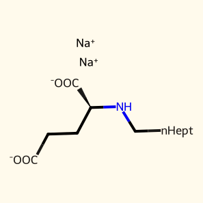 CCCCCCCCN[C@@H](CCC(=O)[O-])C(=O)[O-].[Na+].[Na+]